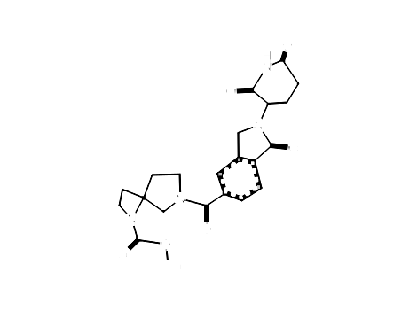 CC(C)(C)OC(=O)N1CCC12CCN(C(=O)c1ccc3c(c1)CN(C1CCC(=O)NC1=O)C3=O)C2